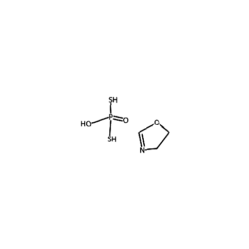 C1=NCCO1.O=P(O)(S)S